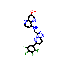 Oc1cnc2c(NCc3nnc4ccc(-c5cc(F)c(F)c(F)c5F)nn34)ccnc2c1